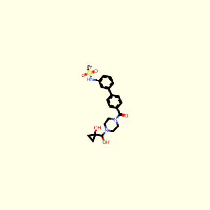 CC(C)S(=O)(=O)Nc1cccc(-c2ccc(C(=O)N3CCN(C(O)C4(O)CC4)CC3)cc2)c1